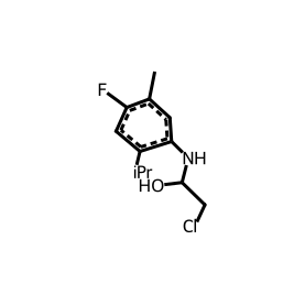 Cc1cc(NC(O)CCl)c(C(C)C)cc1F